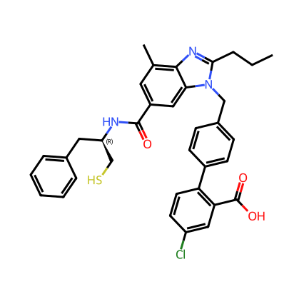 CCCc1nc2c(C)cc(C(=O)N[C@@H](CS)Cc3ccccc3)cc2n1Cc1ccc(-c2ccc(Cl)cc2C(=O)O)cc1